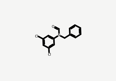 O=[C]N(Cc1ccccc1)c1cc(Cl)cc(Cl)c1